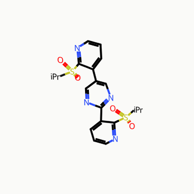 CC(C)S(=O)(=O)c1ncccc1-c1cnc(-c2cccnc2S(=O)(=O)C(C)C)nc1